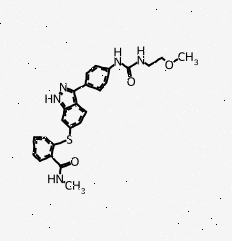 CNC(=O)c1ccccc1Sc1ccc2c(-c3ccc(NC(=O)NCCOC)cc3)n[nH]c2c1